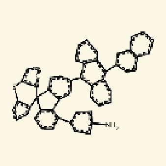 Nc1ccc(-c2cccc3c2-c2cc(-c4c5ccccc5c(-c5ccc6ccccc6c5)c5ccccc45)ccc2C32c3ccccc3Sc3ccccc32)cc1